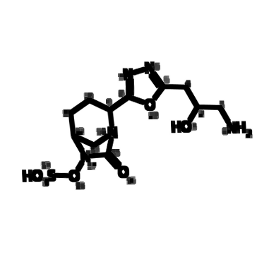 NCC(O)Cc1nnc(C2CCC3CN2C(=O)N3OS(=O)(=O)O)o1